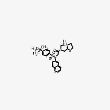 CCN(CC1=NCCS1)C(=O)CN(c1ccc2ncccc2c1)S(=O)(=O)c1ccc(C(C)(C)C)cc1